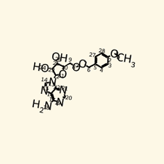 COc1ccc(COOC[C@H]2O[C@@H](n3cnc4c(N)ncnc43)[C@H](O)[C@@H]2O)cc1